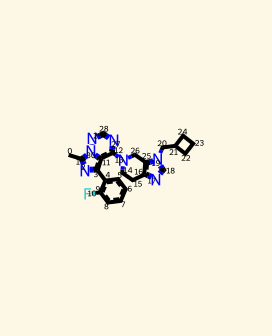 Cc1nc(-c2ccccc2F)c2c(N3CCc4ncn(CC5CCC5)c4C3)ncnn12